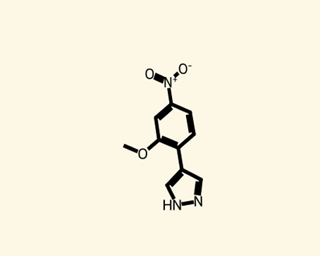 COc1cc([N+](=O)[O-])ccc1-c1cn[nH]c1